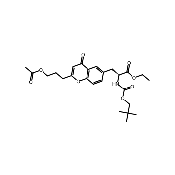 CCOC(=O)[C@H](Cc1ccc2oc(CCCOC(C)=O)cc(=O)c2c1)NC(=O)OCC(C)(C)C